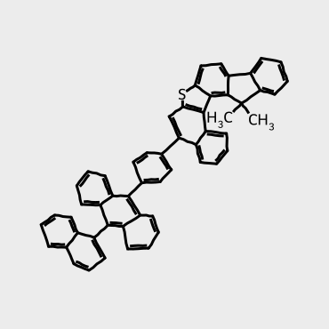 CC1(C)c2ccccc2-c2ccc3sc4cc(-c5ccc(-c6c7ccccc7c(-c7cccc8ccccc78)c7ccccc67)cc5)c5ccccc5c4c3c21